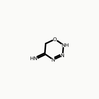 N=C1CONN=N1